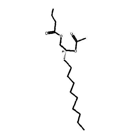 CCCCCCCCCC[C@H](COC(=O)CCC)OC(C)=O